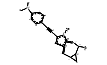 CC(=O)n1c(C#Cc2ccc(N(C)C)cc2)cc2c1=NC(Br)C1CC1C=2